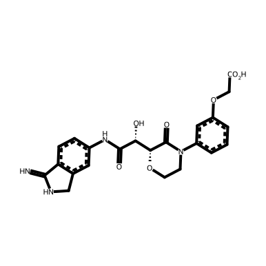 N=C1NCc2cc(NC(=O)[C@H](O)[C@H]3OCCN(c4cccc(OCC(=O)O)c4)C3=O)ccc21